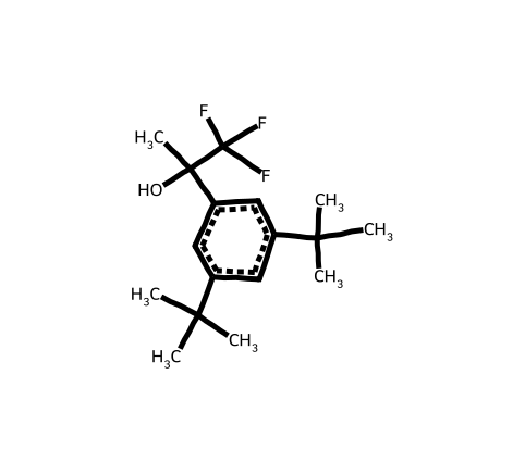 CC(C)(C)c1cc(C(C)(C)C)cc(C(C)(O)C(F)(F)F)c1